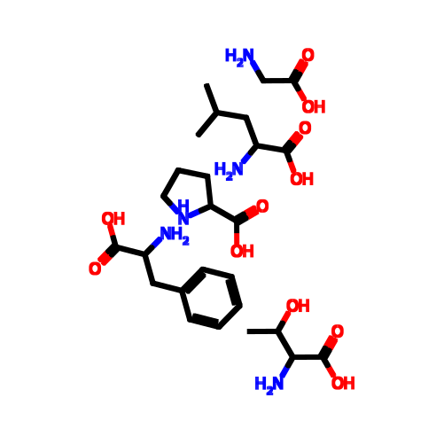 CC(C)CC(N)C(=O)O.CC(O)C(N)C(=O)O.NC(Cc1ccccc1)C(=O)O.NCC(=O)O.O=C(O)C1CCCN1